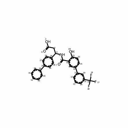 O=C(O)CC(NC(=O)c1cc(-c2cccc(C(F)(F)F)c2)ccc1O)c1ccc(-c2ccccc2)cc1